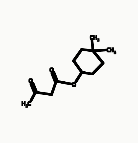 CC(=O)CC(=O)OC1CCC(C)(C)CC1